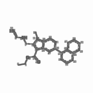 CCOC(=O)c1c(CNC=N)n(C)c2ccc(-c3cccc4ccccc34)cc12